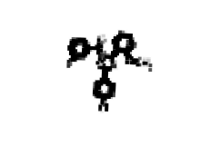 COc1ccccc1C1SC(c2ccc(Cl)cc2)=NN1C(=O)c1cccc(F)c1